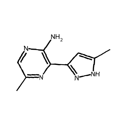 Cc1cnc(N)c(-c2cc(C)[nH]n2)n1